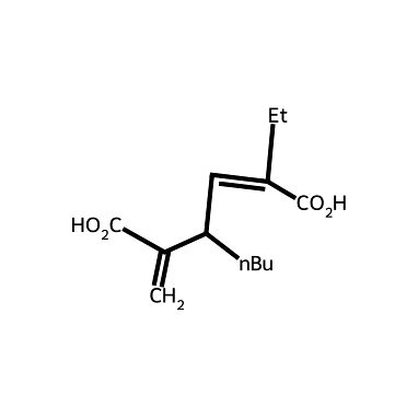 C=C(C(=O)O)C(C=C(CC)C(=O)O)CCCC